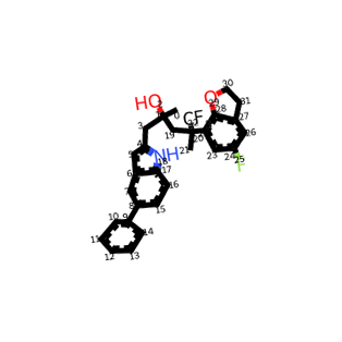 CC(O)(Cc1cc2cc(-c3ccccc3)ccc2[nH]1)CC(C)(c1cc(F)cc2c1OCC2)C(F)(F)F